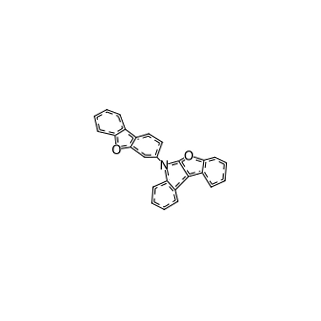 c1ccc2c(c1)oc1cc(-n3c4ccccc4c4c5ccccc5oc43)ccc12